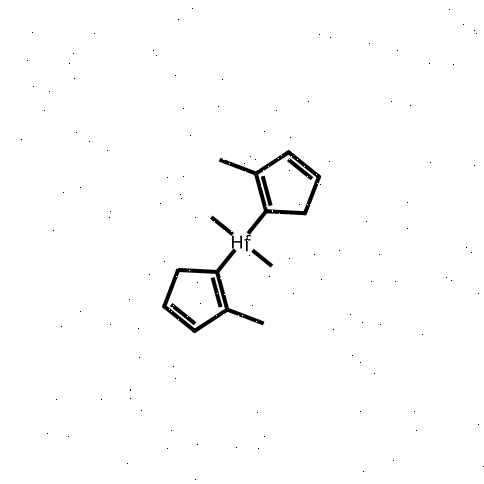 CC1=[C]([Hf]([CH3])([CH3])[C]2=C(C)C=CC2)CC=C1